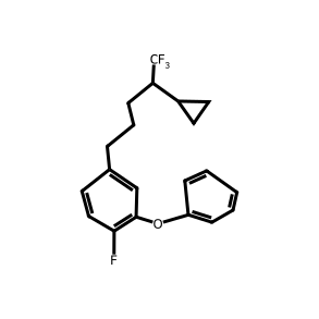 Fc1ccc(CCCC(C2CC2)C(F)(F)F)cc1Oc1ccccc1